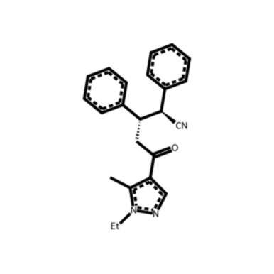 CCn1ncc(C(=O)C[C@H](c2ccccc2)[C@H](C#N)c2ccccc2)c1C